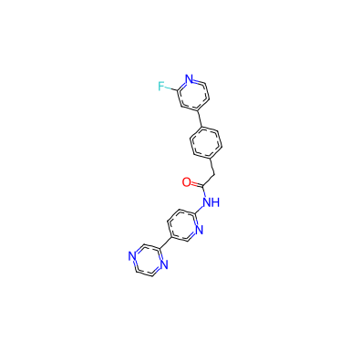 O=C(Cc1ccc(-c2ccnc(F)c2)cc1)Nc1ccc(-c2cnccn2)cn1